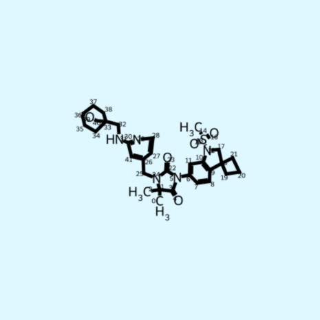 CC1(C)C(=O)N(c2ccc3c(c2)N(S(C)(=O)=O)CC32CCC2)C(=O)N1Cc1ccnc(NCC23CCC(CC2)OC3)c1